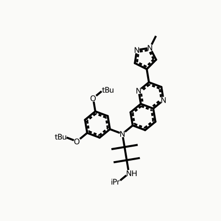 CC(C)NC(C)(C)C(C)(C)N(c1cc(OC(C)(C)C)cc(OC(C)(C)C)c1)c1ccc2ncc(-c3cnn(C)c3)nc2c1